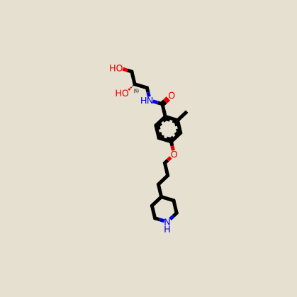 Cc1cc(OCCCC2CCNCC2)ccc1C(=O)NC[C@H](O)CO